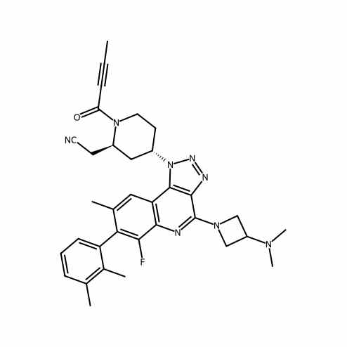 CC#CC(=O)N1CC[C@H](n2nnc3c(N4CC(N(C)C)C4)nc4c(F)c(-c5cccc(C)c5C)c(C)cc4c32)C[C@H]1CC#N